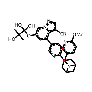 COc1ccc(CN2C3CC2CN(c2ccc(-c4cc(OC(O)(O)C(C)(C)O)cn5ncc(C#N)c45)cn2)C3)cn1